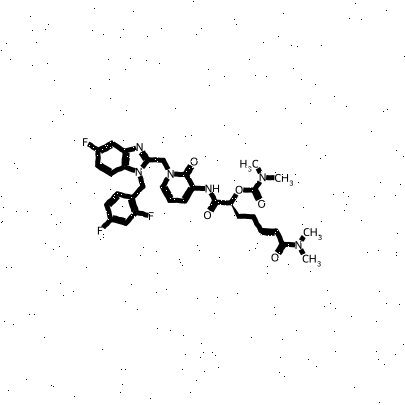 CN(C)C(=O)/C=C/CC[C@H](OC(=O)N(C)C)C(=O)Nc1cccn(Cc2nc3cc(F)ccc3n2Cc2ccc(F)cc2F)c1=O